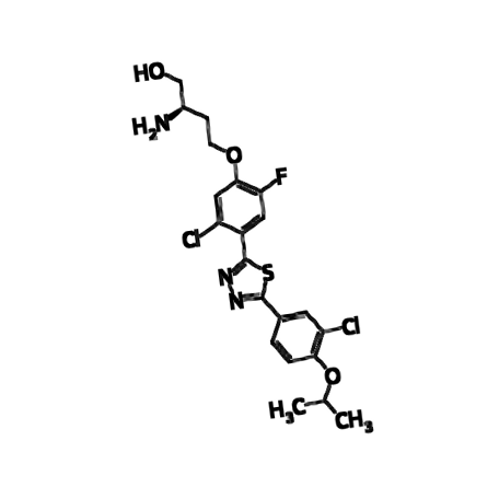 CC(C)Oc1ccc(-c2nnc(-c3cc(F)c(OCC[C@@H](N)CO)cc3Cl)s2)cc1Cl